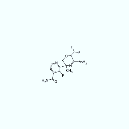 CC1(c2n[c]cc(C(N)=O)c2F)COC(C(F)F)C([AsH2])=N1